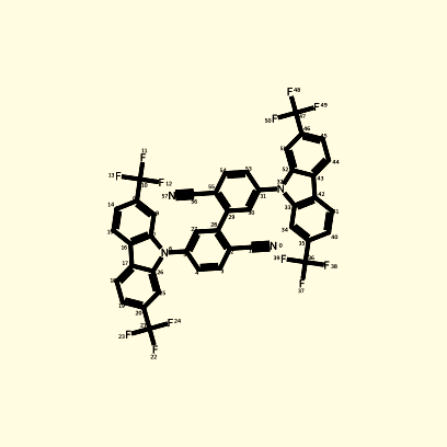 N#Cc1ccc(-n2c3cc(C(F)(F)F)ccc3c3ccc(C(F)(F)F)cc32)cc1-c1cc(-n2c3cc(C(F)(F)F)ccc3c3ccc(C(F)(F)F)cc32)ccc1C#N